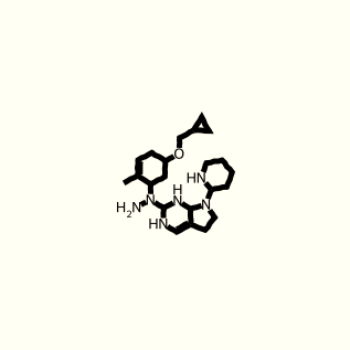 CC1=CCC(OCC2CC2)CC1N(N)C1NC=C2CCN(C3CCCCN3)C2N1